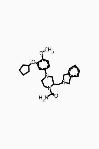 COc1ccc(N2CCN(C(N)=O)C(CN3Cc4ccccc4C3)C2)cc1OC1CCCC1